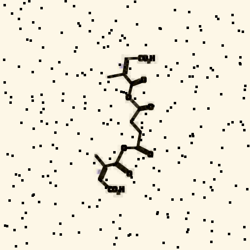 C/C(=C/C(=O)O)C(=O)OC(=O)CCC(=O)OC(=O)/C(C)=C\C(=O)O